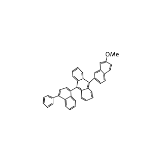 COc1ccc2ccc(-c3c4ccccc4c(-c4ccc(-c5ccccc5)c5ccccc45)c4ccccc34)cc2c1